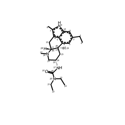 CCc1cc2c3c(c(C)[nH]c3c1)C[C@@H]1[C@@H]2C[C@H](NC(=O)N(CC)CC)CN1C